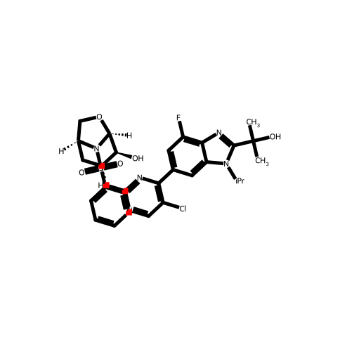 CC(C)n1c(C(C)(C)O)nc2c(F)cc(-c3nc(N[C@@H]4C[C@H]5CO[C@@H]([C@H]4O)N5S(=O)(=O)c4cccnc4)ncc3Cl)cc21